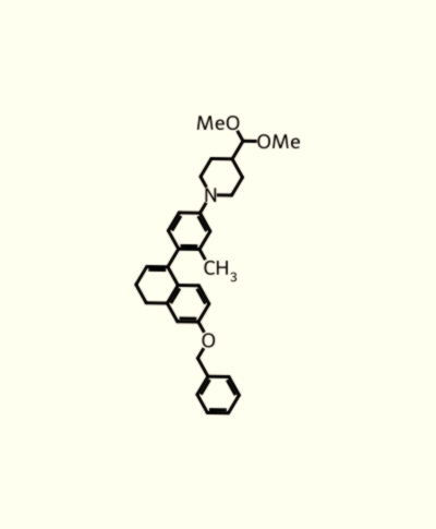 COC(OC)C1CCN(c2ccc(C3=CCCc4cc(OCc5ccccc5)ccc43)c(C)c2)CC1